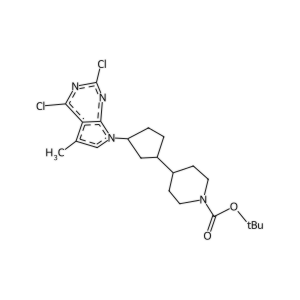 Cc1cn(C2CCC(C3CCN(C(=O)OC(C)(C)C)CC3)C2)c2nc(Cl)nc(Cl)c12